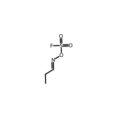 CCC=NOS(=O)(=O)F